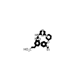 CCOc1ccccc1O[C@@H]1CCCN(c2cncc(Nc3nc4cc(CCC(=O)O)ccc4o3)n2)C1